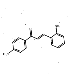 Nc1ccc(C(=O)C=Cc2ccccc2N)cc1